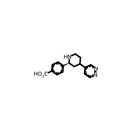 O=C(O)c1ccc([C@@H]2CC(c3ccnnc3)CCN2)cc1